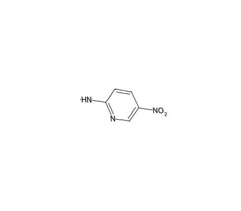 [NH]c1ccc([N+](=O)[O-])cn1